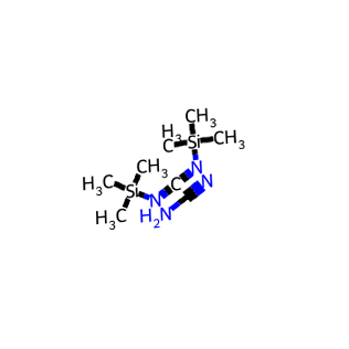 C[Si](C)(C)N=C=N[Si](C)(C)C.N#CN